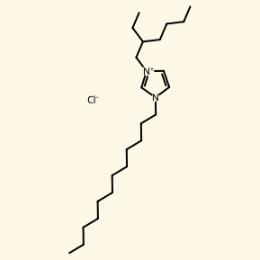 CCCCCCCCCCCCn1cc[n+](CC(CC)CCCC)c1.[Cl-]